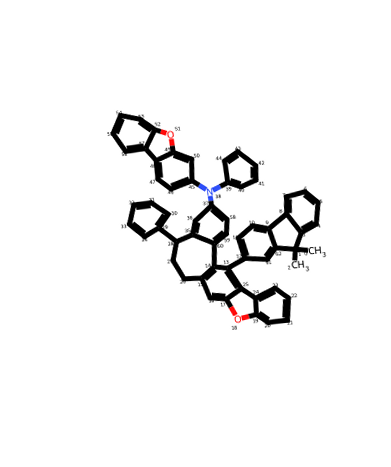 CC1(C)c2ccccc2-c2ccc(-c3c4c(cc5oc6ccccc6c35)CCC(c3ccccc3)c3cc(N(c5ccccc5)c5ccc6c(c5)oc5ccccc56)ccc3-4)cc21